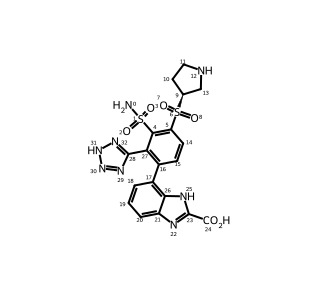 NS(=O)(=O)c1c(S(=O)(=O)[C@H]2CCNC2)ccc(-c2cccc3nc(C(=O)O)[nH]c23)c1-c1nn[nH]n1